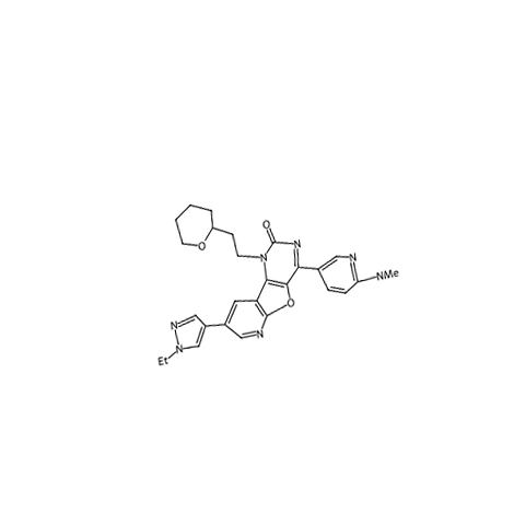 CCn1cc(-c2cnc3oc4c(-c5ccc(NC)nc5)nc(=O)n(CCC5CCCCO5)c4c3c2)cn1